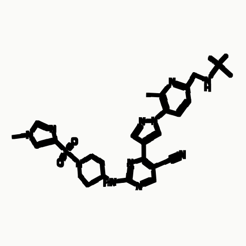 Cc1nc(CNC(C)(C)C)ccc1-n1cc(-c2nc(NC3CCN(S(=O)(=O)c4cn(C)cn4)CC3)ncc2C#N)cn1